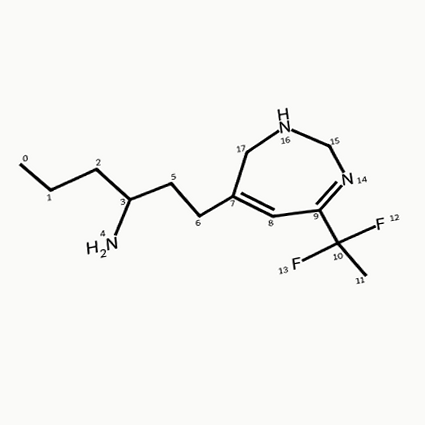 CCCC(N)CCC1=CC(C(C)(F)F)=NCNC1